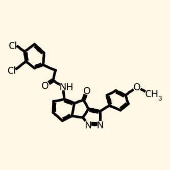 COc1ccc(C2=C3C(=O)c4c(NC(=O)Cc5ccc(Cl)c(Cl)c5)cccc4C3N=N2)cc1